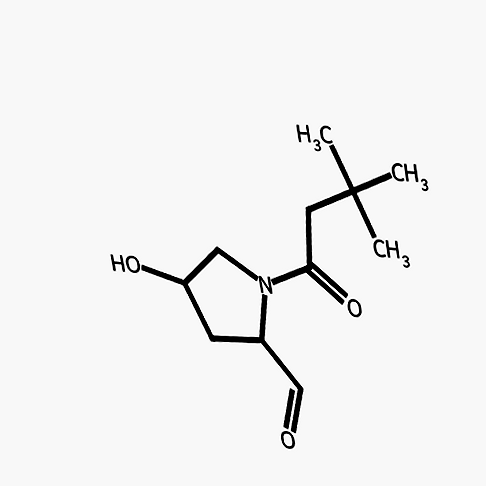 CC(C)(C)CC(=O)N1CC(O)CC1C=O